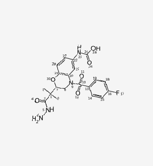 CC(C)(C(=O)NN)C1CN(S(=O)(=O)c2ccc(F)cc2)c2cc(NC(=O)O)ccc2O1